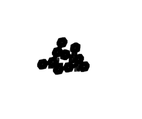 c1ccc(-c2ccc(-c3cc(-c4ccccc4)nc(-c4cccc(-c5ccc(-c6nc7ccccc7c7ccc8c(nc(-c9ccccc9)n8-c8ccccc8)c67)cc5)n4)n3)cc2)cc1